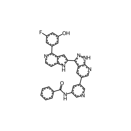 O=C(Nc1cncc(-c2cnc3[nH]nc(-c4cc5c(-c6cc(O)cc(F)c6)nccc5[nH]4)c3c2)c1)c1ccccc1